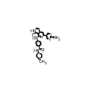 CN1CCC(NC(=O)c2ccc(Nc3nc(-c4cnc(N)nc4)cc4cc[nH]c(=O)c34)cc2)CC1